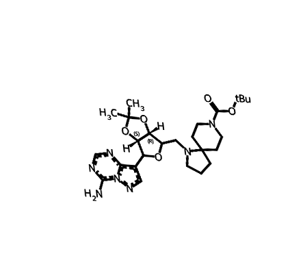 CC(C)(C)OC(=O)N1CCC2(CCCN2CC2OC(c3cnn4c(N)ncnc34)[C@@H]3OC(C)(C)O[C@H]23)CC1